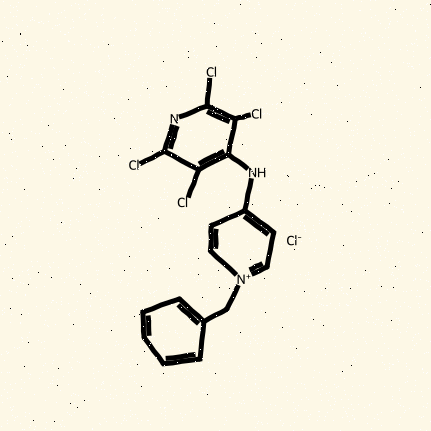 Clc1nc(Cl)c(Cl)c(Nc2cc[n+](Cc3ccccc3)cc2)c1Cl.[Cl-]